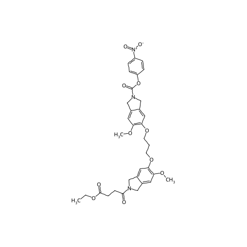 CCOC(=O)CCC(=O)N1Cc2cc(OC)c(OCCCOc3cc4c(cc3OC)CN(C(=O)Oc3ccc([N+](=O)[O-])cc3)C4)cc2C1